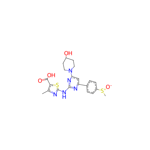 Cc1nc(Nc2nc(-c3ccc([S+](C)[O-])cc3)cc(N3CCC(O)CC3)n2)sc1C(=O)O